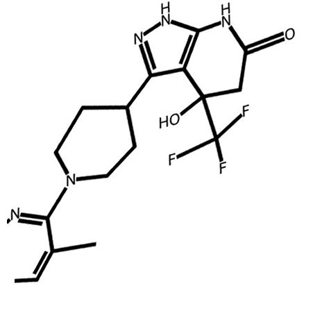 Cc1cccnc1N1CCC(c2n[nH]c3c2C(O)(C(F)(F)F)CC(=O)N3)CC1